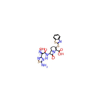 Nc1nc(/C(=N/O)C(=O)NC2C(=O)N3C(C(=O)O)=C(Sc4nc5ccccc5s4)CCC23)ns1